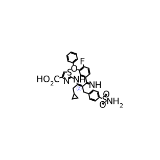 N=C(/C(Cc1ccc(S(N)(=O)=O)cc1)=C(/CC1CC1)Nc1nc(C(=O)O)cs1)c1ccc(F)c(Oc2ccccc2)c1